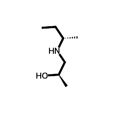 CC[C@H](C)NC[C@@H](C)O